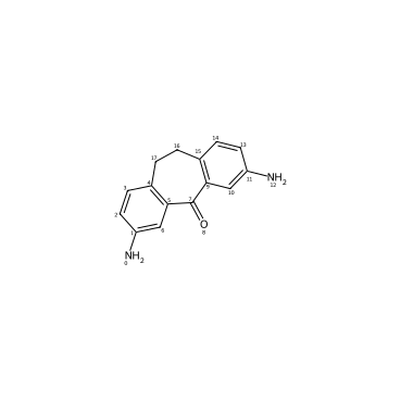 Nc1ccc2c(c1)C(=O)c1cc(N)ccc1CC2